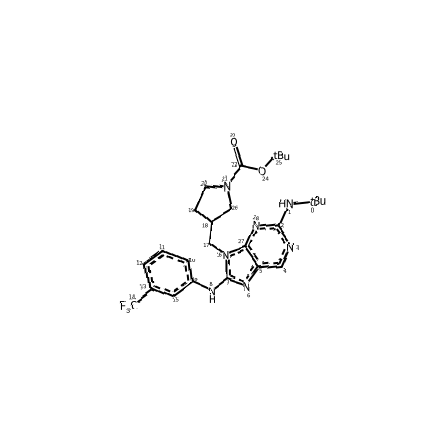 CC(C)(C)Nc1ncc2nc(Nc3cccc(C(F)(F)F)c3)n(CC3CCN(C(=O)OC(C)(C)C)C3)c2n1